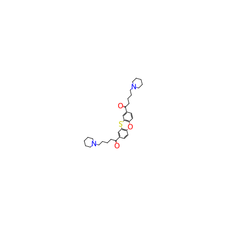 O=C(CCCCN1CCCCC1)c1ccc2c(c1)Sc1cc(C(=O)CCCCN3CCCCC3)ccc1O2